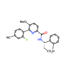 COc1ccc(C(=O)N[C@@H](CC(=O)O)c2ccccc2C)nc1-c1ccc(C#N)cc1F